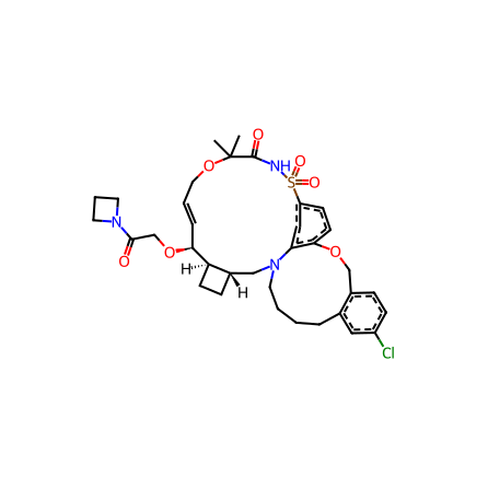 CC1(C)OC/C=C/[C@H](OCC(=O)N2CCC2)[C@@H]2CC[C@H]2CN2CCCCc3cc(Cl)ccc3COc3ccc(cc32)S(=O)(=O)NC1=O